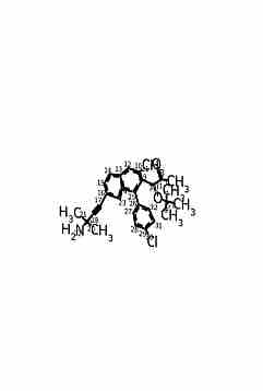 CC(=O)[C@@H](OC(C)(C)C)c1c(C)cc2ccc(C#CC(C)(C)N)cc2c1-c1ccc(Cl)cc1